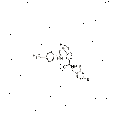 CCc1ccc([C@@H]2C[C@H](C(F)(F)F)n3ncc(C(=O)NCc4ncc(F)cc4F)c3N2)cc1